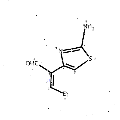 CC/C=C(/[C]=O)c1csc(N)n1